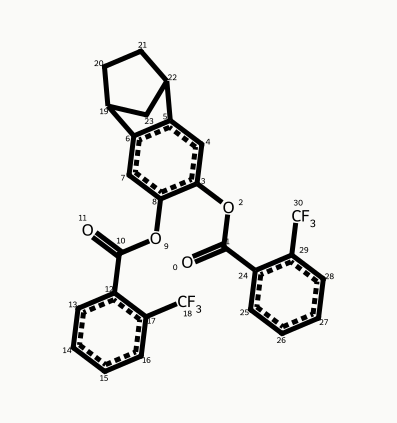 O=C(Oc1cc2c(cc1OC(=O)c1ccccc1C(F)(F)F)C1CCC2C1)c1ccccc1C(F)(F)F